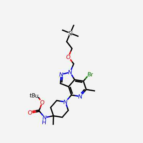 Cc1nc(N2CCC(C)(NC(=O)OC(C)(C)C)CC2)c2cnn(COCC[Si](C)(C)C)c2c1Br